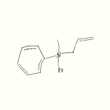 C=CC[Si](C)(CC)c1ccccc1